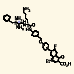 CCn1cc(C(=O)O)c(=O)c2cc(F)c(N3CCN(OCc4ccc(NC(=O)[C@H](CCCCN)N/C=C(\N)[C@@H](N)Cc5ccccc5)cc4)CC3)cc21